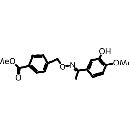 COC(=O)c1ccc(CO/N=C(\C)c2ccc(OC)c(O)c2)cc1